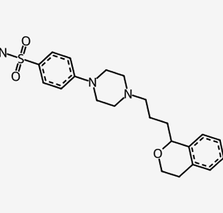 NS(=O)(=O)c1ccc(N2CCN(CCCC3OCCc4ccccc43)CC2)cc1